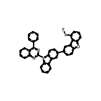 FSc1cccc2oc3ccc(-c4ccc5c(c4)c4ccccc4n5-c4nc(-c5ccccc5)c5ccccc5n4)cc3c12